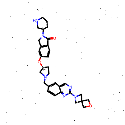 O=C1c2ccc(O[C@H]3CCN(Cc4ccc5nc(N6CC7(COC7)C6)ncc5c4)C3)cc2CN1C1CCCNC1